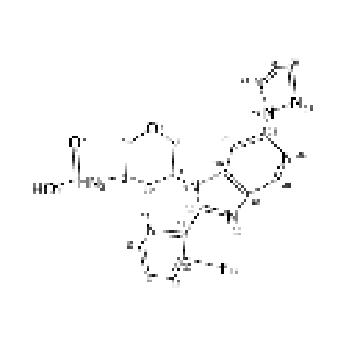 O=C(O)NC1COCC(n2c(-c3ncccc3F)nc3cnc(-n4nccn4)cc32)C1